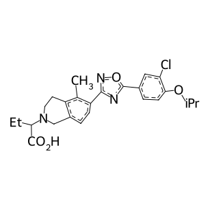 CCC(C(=O)O)N1CCc2c(ccc(-c3noc(-c4ccc(OC(C)C)c(Cl)c4)n3)c2C)C1